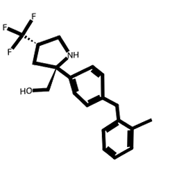 Cc1ccccc1Cc1ccc([C@]2(CO)C[C@H](C(F)(F)F)CN2)cc1